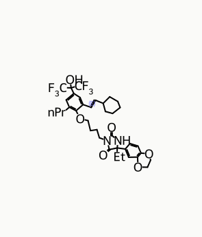 CCCc1cc(C(O)(C(F)(F)F)C(F)(F)F)cc(/C=C/C2CCCCC2)c1OCCCCN1C(=O)NC(CC)(c2ccc3c(c2)OCCO3)C1=O